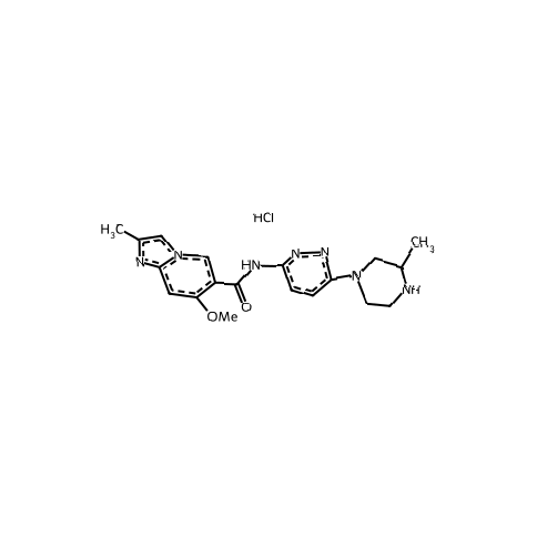 COc1cc2nc(C)cn2cc1C(=O)Nc1ccc(N2CCNC(C)C2)nn1.Cl